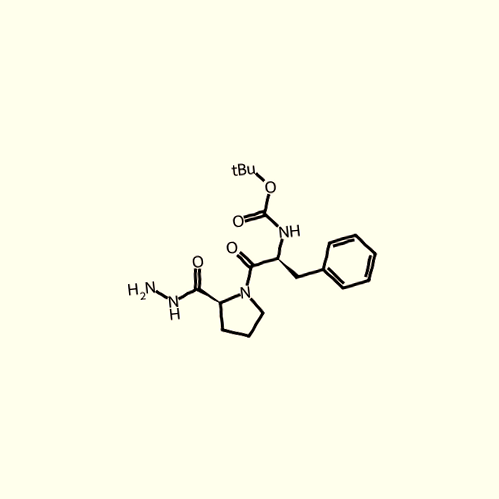 CC(C)(C)OC(=O)N[C@@H](Cc1ccccc1)C(=O)N1CCC[C@H]1C(=O)NN